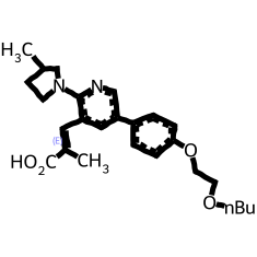 CCCCOCCOc1ccc(-c2cnc(N3CCC(C)C3)c(/C=C(\C)C(=O)O)c2)cc1